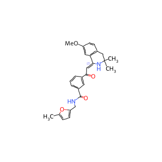 COc1ccc2c(c1)/C(=C/C(=O)c1cccc(C(=O)NCc3ccc(C)o3)c1)NC(C)(C)C2